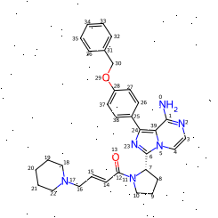 Nc1nccn2c([C@@H]3CCCN3C(=O)/C=C/CN3CCCCC3)nc(-c3ccc(OCc4ccccc4)cc3)c12